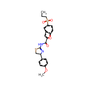 CCCS(=O)(=O)c1ccc2oc(C(=O)NC3=NC(c4ccc(OC)cc4)CS3)cc2c1